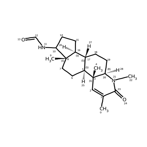 CC1=C[C@]2(C)[C@H]3CC[C@]4(C)C(NC=O)CC[C@H]4[C@@H]3CC[C@H]2N(C)C1=O